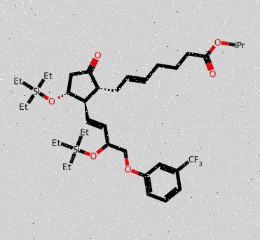 CC[Si](CC)(CC)OC(C=C[C@H]1[C@H](O[Si](CC)(CC)CC)CC(=O)[C@@H]1CC=CCCCC(=O)OC(C)C)COc1cccc(C(F)(F)F)c1